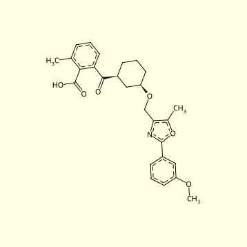 COc1cccc(-c2nc(CO[C@@H]3CCC[C@H](C(=O)c4cccc(C)c4C(=O)O)C3)c(C)o2)c1